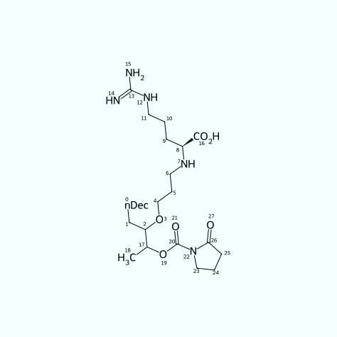 CCCCCCCCCCCC(OCCCN[C@@H](CCCNC(=N)N)C(=O)O)C(C)OC(=O)N1CCCC1=O